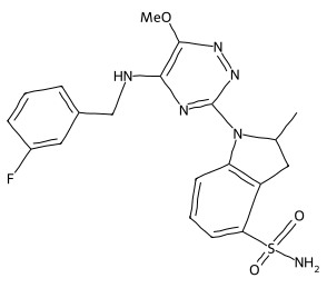 COc1nnc(N2c3cccc(S(N)(=O)=O)c3CC2C)nc1NCc1cccc(F)c1